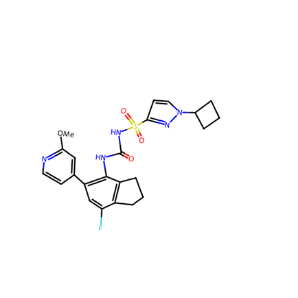 COc1cc(-c2cc(F)c3c(c2NC(=O)NS(=O)(=O)c2ccn(C4CCC4)n2)CCC3)ccn1